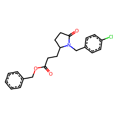 O=C(CCC1CCC(=O)N1Cc1ccc(Cl)cc1)OCc1ccccc1